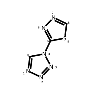 [c]1nnnn1-c1nncs1